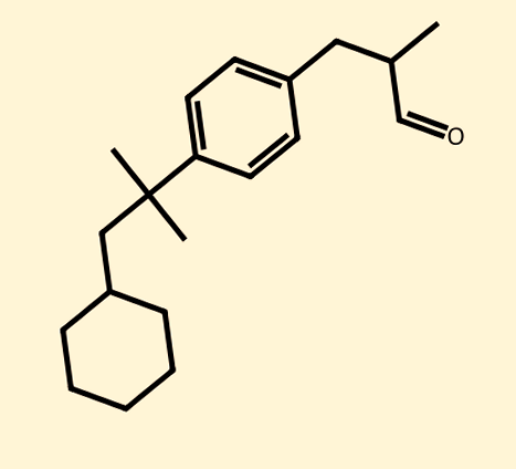 CC(C=O)Cc1ccc(C(C)(C)CC2CCCCC2)cc1